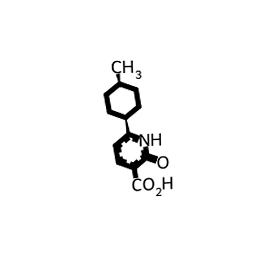 C[C@H]1CC[C@@H](c2ccc(C(=O)O)c(=O)[nH]2)CC1